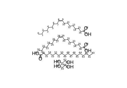 CCCCCCCC/C=C\CCCCCCCC(=O)O.CCCCCCCC/C=C\CCCCCCCC(=O)O.CCCCCCCCCCCCCCCCCC(=O)O.OCCO.OCCO